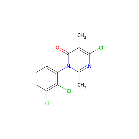 Cc1c(Cl)nc(C)n(-c2cccc(Cl)c2Cl)c1=O